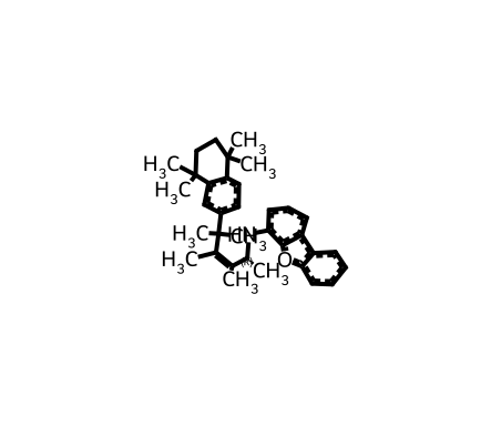 CC(=C(C)C(C)(C)c1ccc2c(c1)C(C)(C)CCC2(C)C)[C@@H](C)Nc1cccc2c1oc1ccccc12